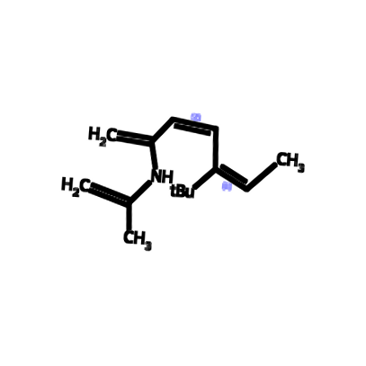 C=C(C)NC(=C)/C=C\C(=C/C)C(C)(C)C